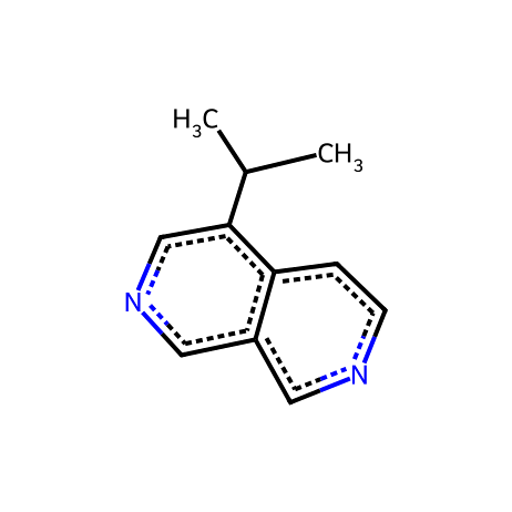 CC(C)c1cncc2cnccc12